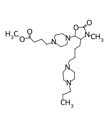 CCCN1CCN(CCCCC2C(N3CCN(CCCC(=O)OC)CC3)OC(=O)N2C)CC1